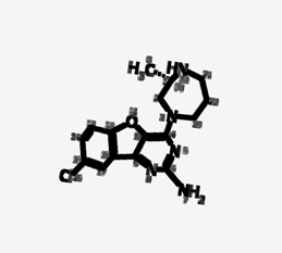 C[C@H]1CN(c2nc(N)nc3c2oc2ccc(Cl)cc23)CCCN1